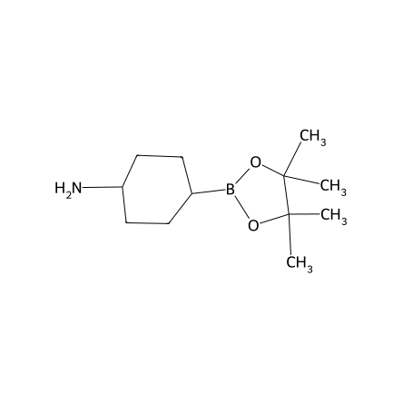 CC1(C)OB(C2CCC(N)CC2)OC1(C)C